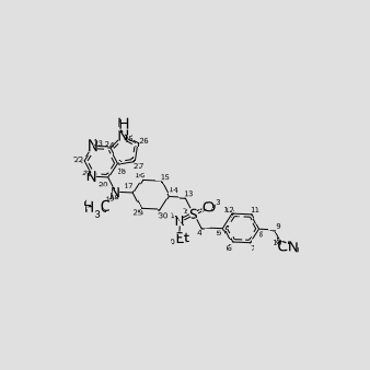 CCN=S(=O)(Cc1ccc(CC#N)cc1)CC1CCC(N(C)c2ncnc3[nH]ccc23)CC1